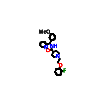 COc1cccc(C(NC(=O)C2CCN(CCOc3ccccc3F)CC2)c2ccccn2)c1